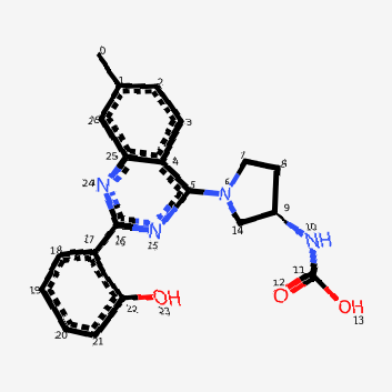 Cc1ccc2c(N3CC[C@@H](NC(=O)O)C3)nc(-c3ccccc3O)nc2c1